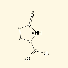 O=C1CCC(C(=O)Cl)N1